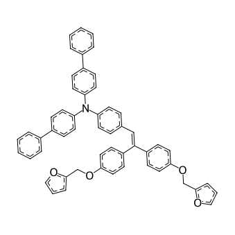 C(=C(c1ccc(OCc2ccco2)cc1)c1ccc(OCc2ccco2)cc1)c1ccc(N(c2ccc(-c3ccccc3)cc2)c2ccc(-c3ccccc3)cc2)cc1